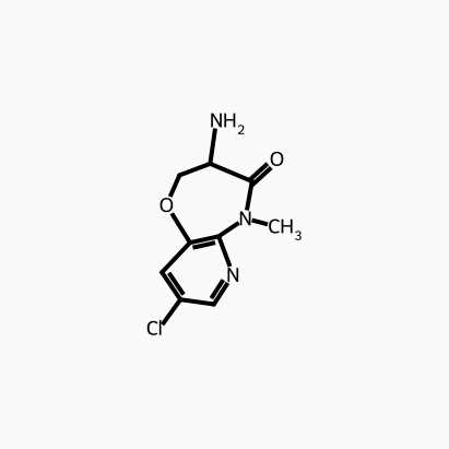 CN1C(=O)C(N)COc2cc(Cl)cnc21